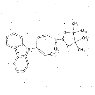 C=C(/C=C\C(=C/C)n1c2ccccc2c2ccccc21)B1OC(C)(C)C(C)(C)O1